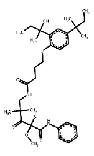 CCC(C)(C)c1ccc(OCCCC(=O)NCC(C)(C)C(=O)C(Cl)(OC)C(=O)Nc2ccccc2)c(C(C)(C)CC)c1